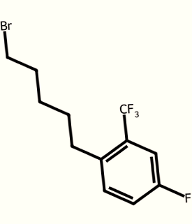 Fc1ccc(CCCCCBr)c(C(F)(F)F)c1